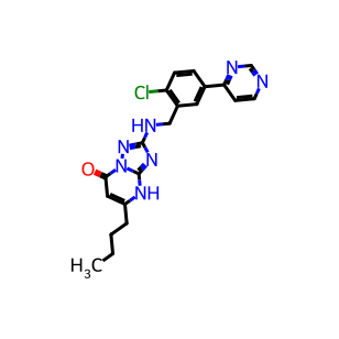 CCCCc1cc(=O)n2nc(NCc3cc(-c4ccncn4)ccc3Cl)nc2[nH]1